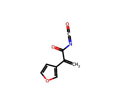 C=C(C(=O)N=C=O)c1ccoc1